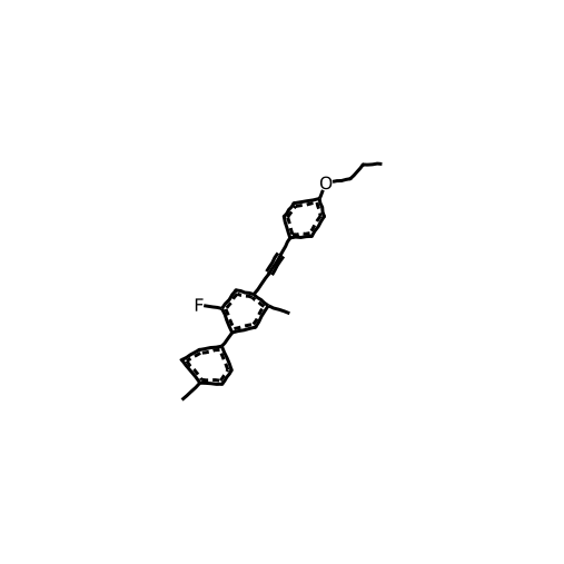 CCCOc1ccc(C#Cc2cc(F)c(-c3ccc(C)cc3)cc2C)cc1